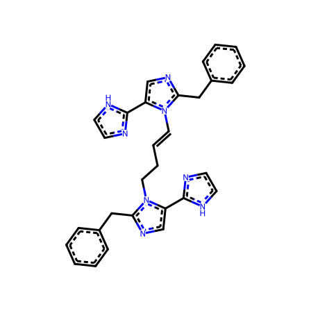 C(=Cn1c(-c2ncc[nH]2)cnc1Cc1ccccc1)CCn1c(-c2ncc[nH]2)cnc1Cc1ccccc1